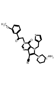 COc1cccc(C(=O)Cn2cnc3c(C#N)c(N4CCC[C@@H](N)C4)n(Cc4ccsc4)c3c2=O)c1